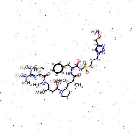 CC[C@H](C)[C@@H]([C@@H](CC(=O)N1CCC[C@H]1[C@H](OC)[C@@H](C)C(=O)N[C@@H](Cc1ccccc1)C(=O)NS(=O)(=O)CCCn1cc(CON)nn1)OC)N(C)C(=O)[C@@H](N=C(N(C)C)N(C)C)C(C)C